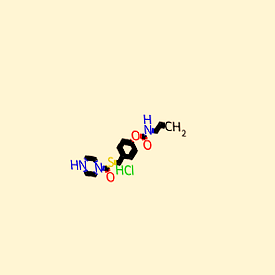 C=CCNC(=O)Oc1ccc(CSC(=O)N2CCNCC2)cc1.Cl